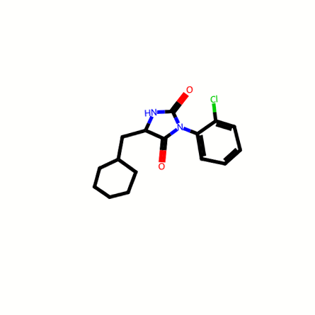 O=C1NC(CC2CCCCC2)C(=O)N1c1ccccc1Cl